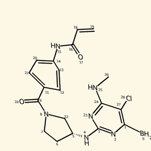 Bc1nc(N[C@@H]2CCN(C(=O)c3ccc(NC(=O)C=C)cc3)C2)nc(NC)c1Cl